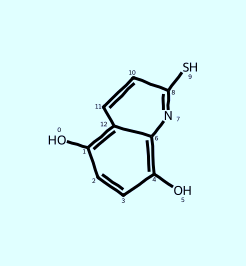 Oc1ccc(O)c2nc(S)ccc12